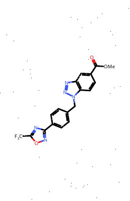 COC(=O)c1ccc2c(c1)nnn2Cc1ccc(-c2noc(C(F)(F)F)n2)cc1